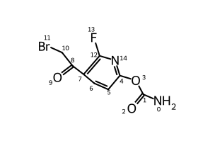 NC(=O)Oc1ccc(C(=O)CBr)c(F)n1